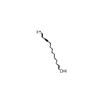 CCC=CC#CCCCCCCCCCCO